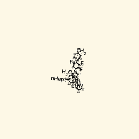 C=C1C=CN(c2c(F)cc(N3CC(CN(C4=NCC=C4)P(=C)(C)CC(=C)CCCCCCC)CC3=C)c(F)c2F)CC1